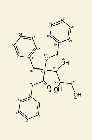 O=C(Cc1ccccc1)[C@](Cc1ccccc1)(OCc1ccccc1)C(O)C(O)CO